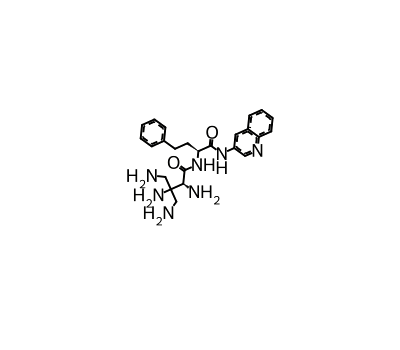 NCC(N)(CN)[C@H](N)C(=O)N[C@@H](CCc1ccccc1)C(=O)Nc1cnc2ccccc2c1